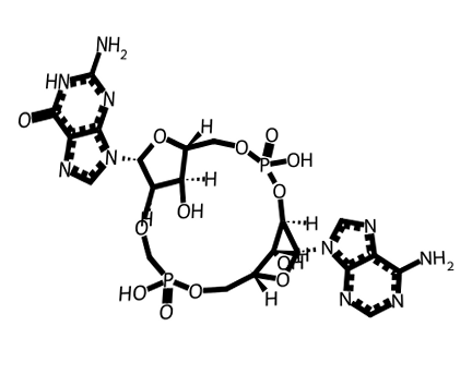 Nc1nc2c(ncn2[C@@H]2O[C@@H]3COP(=O)(O)O[C@@H]4[C@H](O)[C@@H](COP(=O)(O)CO[C@@H]2[C@@H]3O)O[C@H]4n2cnc3c(N)ncnc32)c(=O)[nH]1